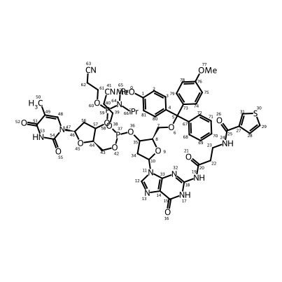 COc1ccc(C(OC[C@H]2OC(n3cnc4c(=O)[nH]c(NC(=O)CCNC(=O)c5ccsc5)nc43)CC2OP(OCCC#N)OC[C@H]2O[C@@H](n3cc(C)c(=O)[nH]c3=O)CC2OP(OCCC#N)N(C(C)C)C(C)C)(c2ccccc2)c2ccc(OC)cc2)cc1